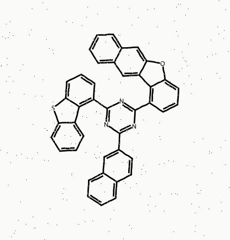 c1ccc2cc(-c3nc(-c4cccc5oc6cc7ccccc7cc6c45)nc(-c4cccc5sc6ccccc6c45)n3)ccc2c1